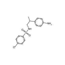 CC(CNS(=O)(=O)c1ccc(Cl)cc1)c1ccc(N)cc1